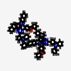 c1ccc(-n2c3ccccc3c3ccc(-c4nc(-c5ccc6cc(-c7cccc8c7oc7cc(-c9nc(-c%10cccc%11ccccc%10%11)nc(-c%10cccc%11c%10c%10ccccc%10n%11-c%10ccccc%10)n9)c(-n9c%10ccccc%10c%10cc%11ccccc%11cc%109)cc78)ccc6c5)nc(-c5cc6oc7ccccc7c6cc5-n5c6ccccc6c6cc7ccccc7cc65)n4)cc32)cc1